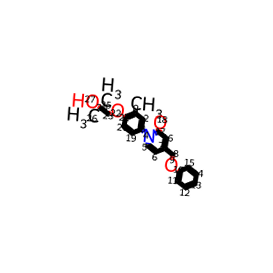 Cc1cc(-n2ccc(COc3ccccc3)cc2=O)ccc1OCC(C)(C)O